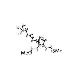 COCCc1c(CCSC)cnn1COCC[Si](C)(C)C